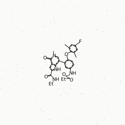 CCNC(=O)c1cc2c(=O)n(C)cc(-c3cc(NS(=O)(=O)CC)ccc3Oc3c(C)cc(F)cc3C)c2[nH]1